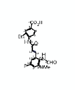 CCc1cc(C(=O)O)ccc1NC(=O)/C=C/c1cc(F)cc(NC)c1NC=O